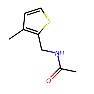 CC(=O)NCc1sccc1C